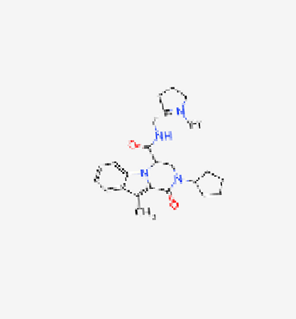 Cc1c2n(c3ccccc13)C(C(=O)NC[C@@H]1CCCN1C(C)C)CN(C1CCCC1)C2=O